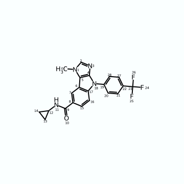 Cn1cnc2c1c1cc(C(=O)NC3CC3)ccc1n2-c1ccc(C(F)(F)F)cc1